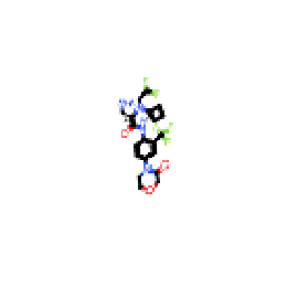 NC[C@H](C(=O)Nc1ccc(N2CCOCC2=O)cc1C(F)(F)F)N(CC(F)F)C1CCC1